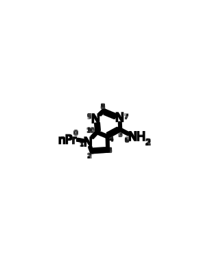 CCCn1ccc2c(N)ncnc21